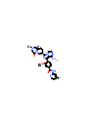 CCOc1cc(C(=O)Nc2cc(C(F)(F)F)ccn2)ccc1-c1nc([C@@H]2CC[C@H]3CN(C(C)C)CC(=O)N3C2)n2ccnc(N)c12